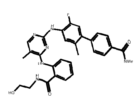 CNC(=O)c1ccc(-c2cc(F)c(Nc3ncc(C)c(Nc4ccccc4C(=O)NCCO)n3)cc2C)cc1